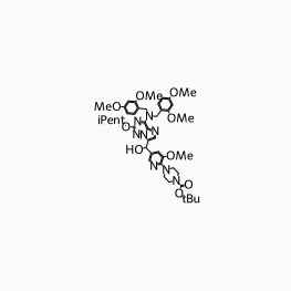 CCC[C@@H](C)Oc1nc(N(Cc2ccc(OC)cc2OC)Cc2ccc(OC)cc2OC)c2ncc(C(O)c3cnc(N4CCN(C(=O)OC(C)(C)C)CC4)c(OC)c3)n2n1